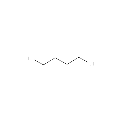 OC[CH]CCO